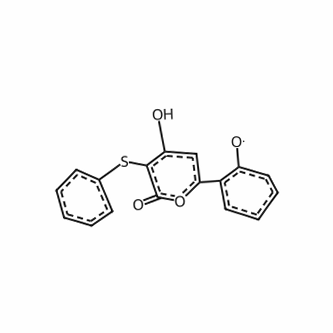 [O]c1ccccc1-c1cc(O)c(Sc2ccccc2)c(=O)o1